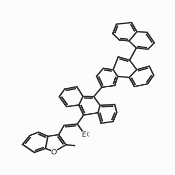 CC/C(=C\c1c(C)oc2ccccc12)c1c2ccccc2c(-c2ccc3cc(-c4cccc5ccccc45)c4ccccc4c3c2)c2ccccc12